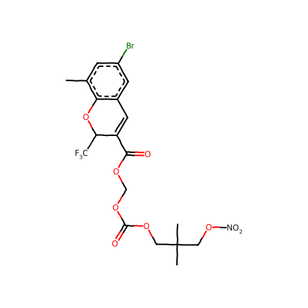 Cc1cc(Br)cc2c1OC(C(F)(F)F)C(C(=O)OCOC(=O)OCC(C)(C)CO[N+](=O)[O-])=C2